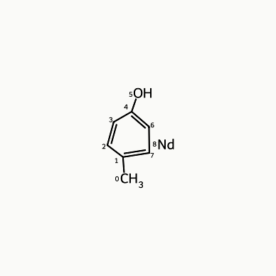 Cc1ccc(O)cc1.[Nd]